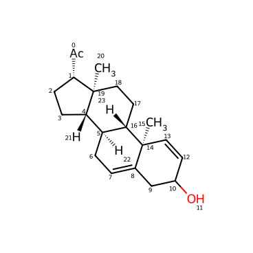 CC(=O)[C@H]1CC[C@H]2[C@@H]3CC=C4CC(O)C=C[C@]4(C)[C@H]3CC[C@]12C